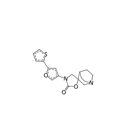 O=C1OC2(CN3CCC2CC3)CN1c1coc(-c2cccs2)c1